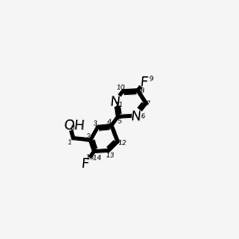 OCc1cc(-c2ncc(F)cn2)ccc1F